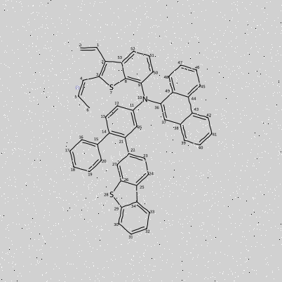 C=Cc1c(/C=C\C)sc2c(N(c3ccc(-c4ccccc4)c(-c4ccc5c(c4)sc4ccccc45)c3)c3cc4ccccc4c4ccccc34)cccc12